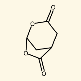 O=C1CC2CC(O1)OC2=O